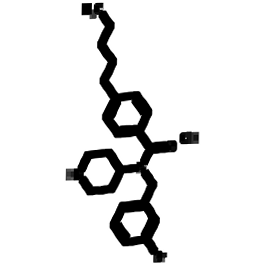 CCCCCc1ccc(C(=O)N(Cc2cccc(Br)c2)C2CCNCC2)cc1.Cl